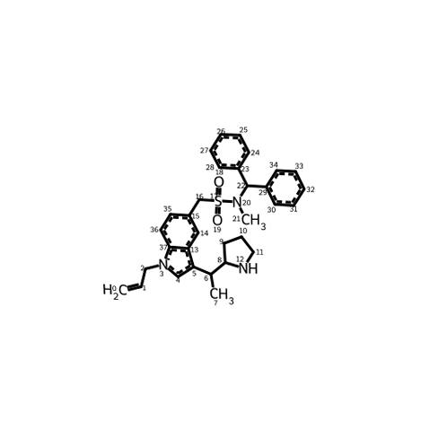 C=CCn1cc(C(C)C2CCCN2)c2cc(CS(=O)(=O)N(C)C(c3ccccc3)c3ccccc3)ccc21